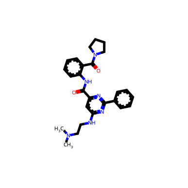 CN(C)CCNc1cc(C(=O)Nc2ccccc2C(=O)N2CCCC2)nc(-c2ccccc2)n1